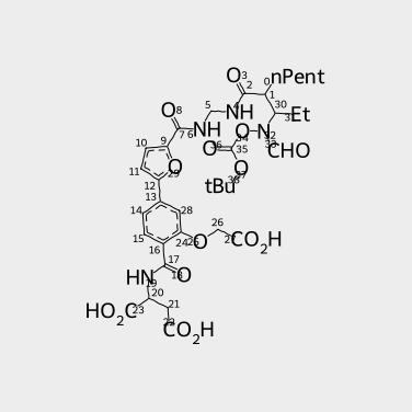 CCCCCC(C(=O)NCNC(=O)c1ccc(-c2ccc(C(=O)NC(CC(=O)O)C(=O)O)c(OCC(=O)O)c2)o1)C(CC)N(C=O)OC(=O)OC(C)(C)C